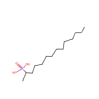 [CH2]C(CCCCCCCCCCCC)P(=O)(O)O